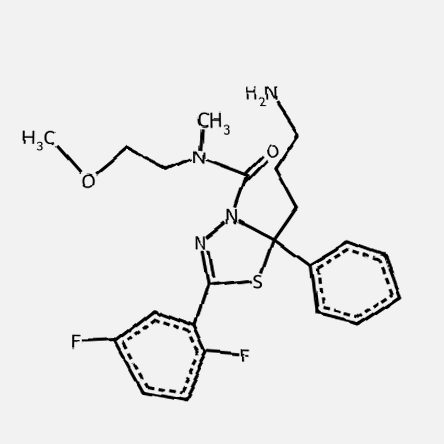 COCCN(C)C(=O)N1N=C(c2cc(F)ccc2F)SC1(CCCN)c1ccccc1